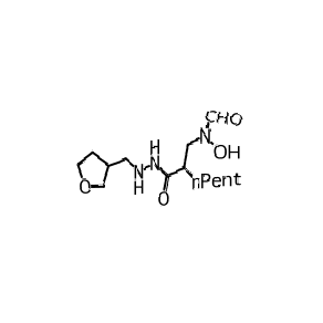 CCCCC[C@H](CN(O)C=O)C(=O)NNCC1CCOC1